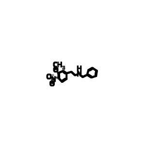 COc1cc(CCNCc2ccccc2)ccc1[N+](=O)[O-]